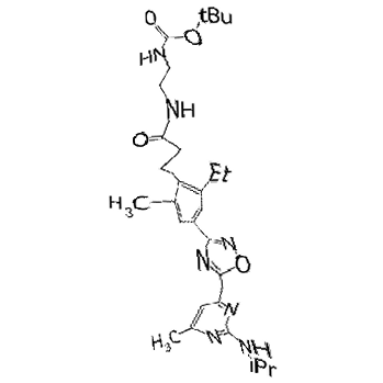 CCc1cc(-c2noc(-c3cc(C)nc(NC(C)C)n3)n2)cc(C)c1CCC(=O)NCCNC(=O)OC(C)(C)C